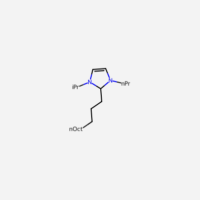 CCCCCCCCCCCC1N(CCC)C=CN1C(C)C